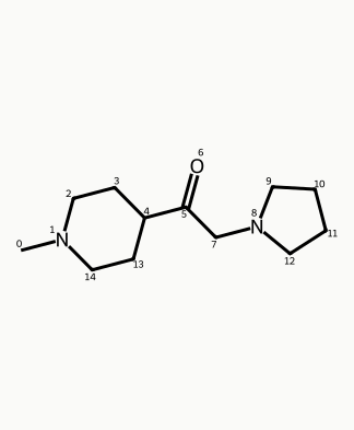 CN1CCC(C(=O)CN2CCCC2)CC1